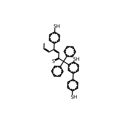 C/C=C\C(=C/C(=S)C(c1ccccc1)(c1ccccc1)c1cc(-c2ccc(S)cc2)ccc1S)c1ccc(S)cc1